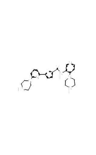 O=C(Nc1cnccc1N1CCNCC1)c1ccc(-c2cccc(N3CCNCC3)n2)s1